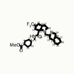 COC(=O)[C@H]1CC[C@H](CNC(=O)c2cc(C(F)(F)F)cc3ccn(Cc4cc5ccccc5cn4)c23)CC1